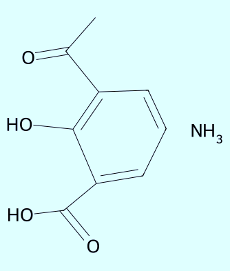 CC(=O)c1cccc(C(=O)O)c1O.N